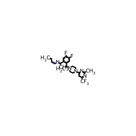 C=C/C=C\N=C(/C)c1cc(F)c(F)cc1C(=C)N1CCN(c2cc(C(F)(F)F)nc(C)n2)CC1